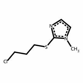 Cn1ccnc1SCCCCl